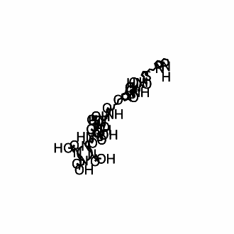 Cc1cc(OCCCC(=O)NCCNC(=O)[C@H](CS(=O)(=O)O)NC(=O)[C@H](CS(=O)(=O)O)NC(=O)CN2CCN(CC(=O)O)CCN(CC(=O)O)CCN(CC(=O)O)CC2)cc(C)c1S(=O)(=O)N[C@@H](CNC(=O)c1ccc(CCc2ccc3c(n2)NCCC3)s1)C(=O)O